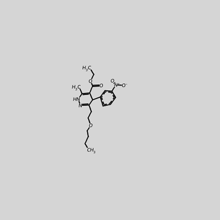 CCCCOCCC1=NNC(C)=C(C(=O)OCC)C1c1cccc([N+](=O)[O-])c1